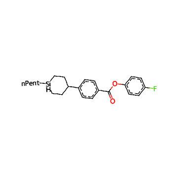 CCCCC[SiH]1CCC(c2ccc(C(=O)Oc3ccc(F)cc3)cc2)CC1